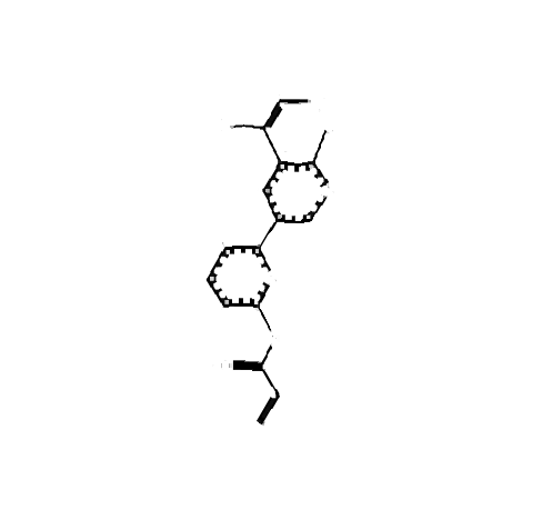 C=CC(=O)Nc1cccc(-c2cnc(C)c(/C(Cl)=C\CCC)c2)n1